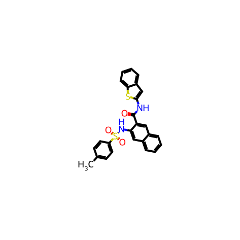 Cc1ccc(S(=O)(=O)Nc2cc3ccccc3cc2C(=O)Nc2cc3ccccc3s2)cc1